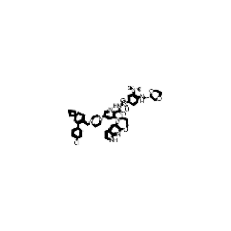 O=C(NS(=O)(=O)c1ccc(NC[C@H]2COCCO2)c([N+](=O)[O-])c1)c1ncc(N2CCN(CC3=C(c4ccc(Cl)cc4)CC4(CCC4)CC3)CC2)cc1N1CCCOc2nc3[nH]ccc3cc21